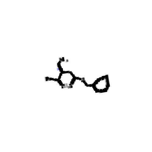 C=C(/C(=C/N)CC(=O)OCc1ccccc1)C(C)C